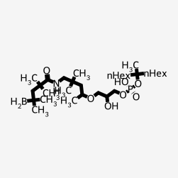 BC(C)(C)CC(C)(C)C(=O)NCC(C)(C)CC(C)OCC(O)COP(=O)(O)OC(C)(CCCCCC)CCCCCC